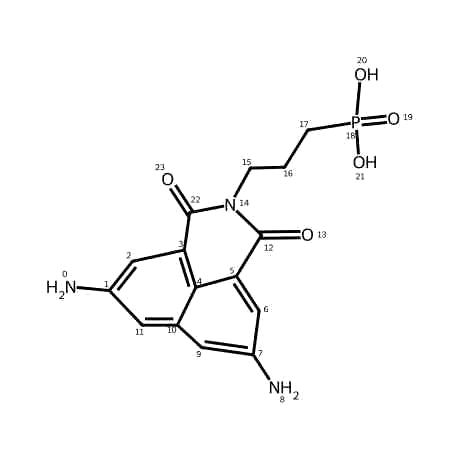 Nc1cc2c3c(cc(N)cc3c1)C(=O)N(CCCP(=O)(O)O)C2=O